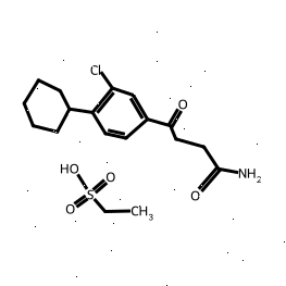 CCS(=O)(=O)O.NC(=O)CCC(=O)c1ccc(C2CCCCC2)c(Cl)c1